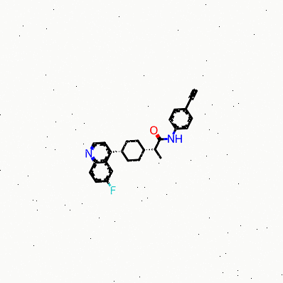 C#Cc1ccc(NC(=O)C(C)[C@H]2CC[C@@H](c3ccnc4ccc(F)cc43)CC2)cc1